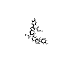 CCNc1cc2oc(-c3ccc(F)cc3)c(C(=O)NC)c2cc1-c1ccc(OC)c(-c2nc3cc(Cl)cnc3o2)c1